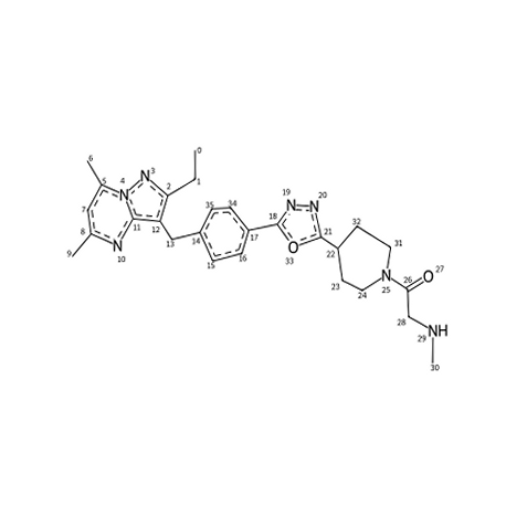 CCc1nn2c(C)cc(C)nc2c1Cc1ccc(-c2nnc(C3CCN(C(=O)CNC)CC3)o2)cc1